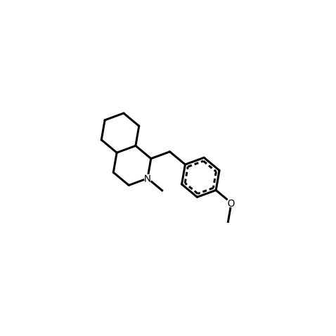 COc1ccc(CC2C3CCCCC3CCN2C)cc1